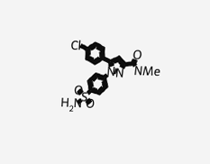 CNC(=O)c1cc(-c2ccc(Cl)cc2)n(-c2ccc(S(N)(=O)=O)cc2)n1